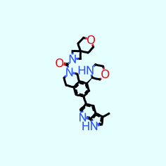 Cc1c[nH]c2ncc(-c3cc4c(c([C@@H]5COCCN5)c3)CN(C(=O)N3CC5(CCOCC5)C3)CC4)cc12